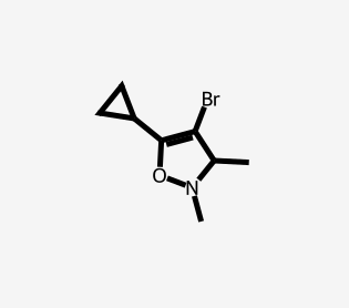 CC1C(Br)=C(C2CC2)ON1C